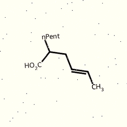 CC=CCC(CCCCC)C(=O)O